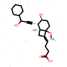 COC12CC[C@H](O)[C@@H](C#CC(O)C3CCCCC3)[C@@H]1C/C2=C\CCC(=O)O